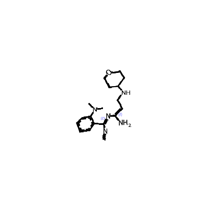 C=N/C(=N\C(N)=C/CNC1CCOCC1)c1ccccc1N(C)C